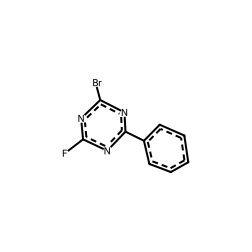 Fc1nc(Br)nc(-c2ccccc2)n1